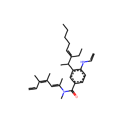 C=CNc1ccc(C(=O)N(C)/C(C)=C/C(C)=C(/C)C=C)cc1C(C)/C(=C/CCCC)CC